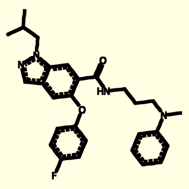 CC(C)Cn1ncc2cc(Oc3ccc(F)cc3)c(C(=O)NCCCN(C)c3ccccc3)cc21